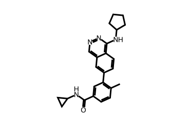 Cc1ccc(C(=O)NC2CC2)cc1-c1ccc2c(NC3CCCC3)nncc2c1